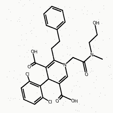 CN(CCO)C(=O)CN1C=C(C(=O)O)C(c2c(Cl)cccc2Cl)C(C(=O)O)=C1CCc1ccccc1